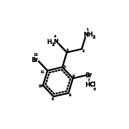 Cl.NCC(N)c1c(Br)cccc1Br